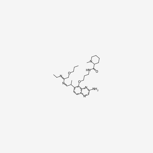 CCCOCC(/N=C\C(C)c1ccc2ncc(N)nc2c1OCCCNC(=O)C1CCCCN1C)=N/CC